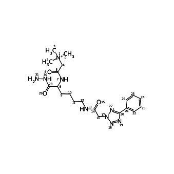 C[N+](C)(C)CC(=O)NC(CCCCNC(=O)Cn1nnc(-c2ccccc2)n1)C(=O)NN